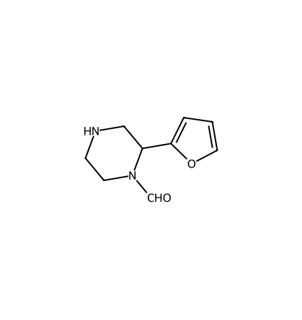 O=CN1CCNCC1c1ccco1